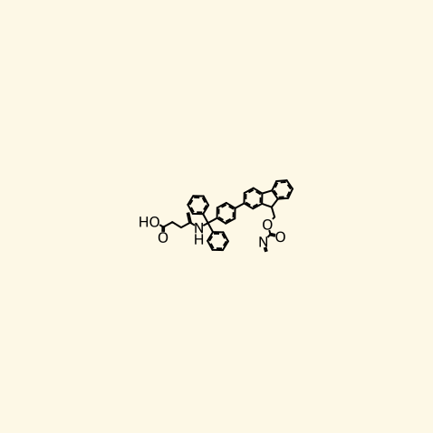 C=NC(=O)OCC1c2ccccc2-c2ccc(-c3ccc(C(NC(=C)CCC(=O)O)(c4ccccc4)c4ccccc4)cc3)cc21